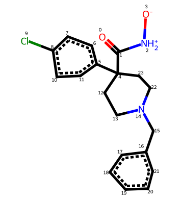 O=C([NH2+][O-])C1(c2ccc(Cl)cc2)CCN(Cc2ccccc2)CC1